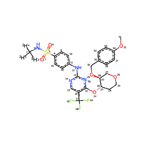 [2H]C([2H])([2H])NS(=O)(=O)c1ccc(Nc2ncc(C(F)(F)F)c(O[C@H]3CCOC[C@@H]3OCc3ccc(OC)cc3)n2)cc1